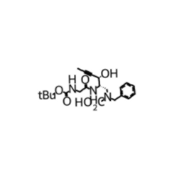 CC#C[C@H](O)[C@H](CN(Cc1ccccc1)C(=O)O)NC(=O)CNC(=O)OC(C)(C)C